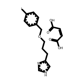 Ic1ccc(COCCCc2c[nH]cn2)cc1.O=C(O)/C=C\C(=O)O